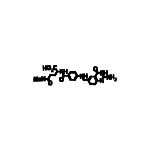 CNC(=O)CC[C@H](NC(=O)c1ccc(NCc2ccc3nc(N)[nH]c(=O)c3c2)cc1)C(=O)O